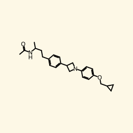 CC(=O)NC(C)CCc1ccc(C2CN(c3ccc(OCC4CC4)cc3)C2)cc1